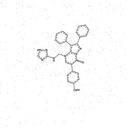 COc1ccc(-c2cn(CNc3nc[nH]n3)c3c(-c4ccccc4)c(-c4ccccc4)nn3c2=O)cc1